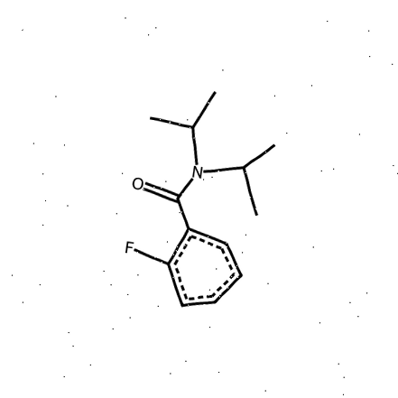 CC(C)N(C(=O)c1ccccc1F)C(C)C